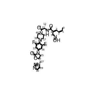 C\C=C/C=C(\C=N\O)C(=O)N[C@@H](C)C(=O)N1CCN(c2c(F)cc(N3C[C@H](Cn4ccnn4)OC3=O)cc2F)CC1